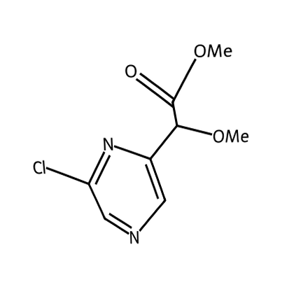 COC(=O)C(OC)c1cncc(Cl)n1